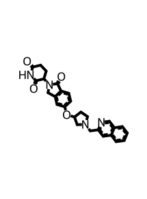 O=C1CCC(N2Cc3cc(OC4CCN(Cc5cc6ccccc6cn5)C4)ccc3C2=O)C(=O)N1